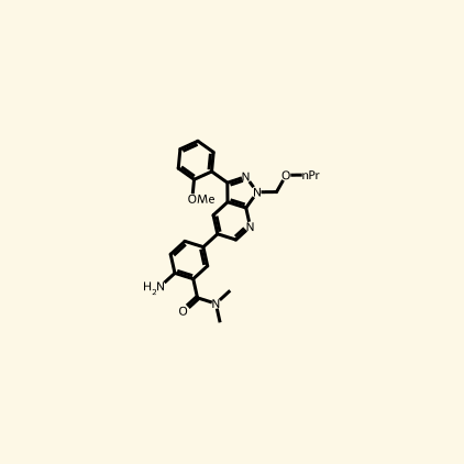 CCCOCn1nc(-c2ccccc2OC)c2cc(-c3ccc(N)c(C(=O)N(C)C)c3)cnc21